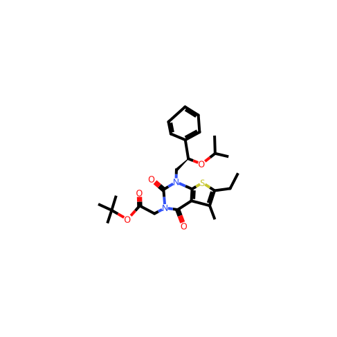 CCc1sc2c(c1C)c(=O)n(CC(=O)OC(C)(C)C)c(=O)n2C[C@H](OC(C)C)c1ccccc1